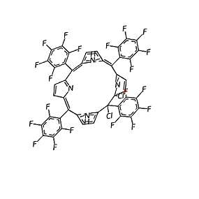 Fc1c(F)c(F)c(C2=C3C=CC(=N3)C(c3c(F)c(F)c(F)c(F)c3F)=c3ccc([nH]3)=C(c3c(F)c(F)c(F)c(F)c3F)C3=NC(Cl)(C=C3)C(Cl)(c3c(F)c(F)c(F)c(F)c3F)c3ccc2[nH]3)c(F)c1F